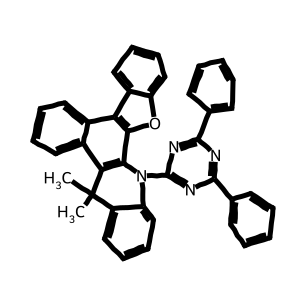 CC1(C)c2ccccc2N(c2nc(-c3ccccc3)nc(-c3ccccc3)n2)c2c1c1ccccc1c1c2oc2ccccc21